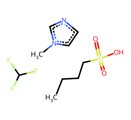 CCCCS(=O)(=O)O.Cn1ccnc1.FC(F)F